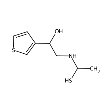 CC(S)NCC(O)c1ccsc1